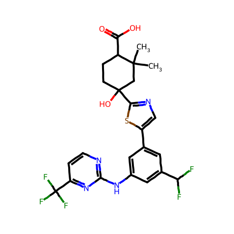 CC1(C)CC(O)(c2ncc(-c3cc(Nc4nccc(C(F)(F)F)n4)cc(C(F)F)c3)s2)CCC1C(=O)O